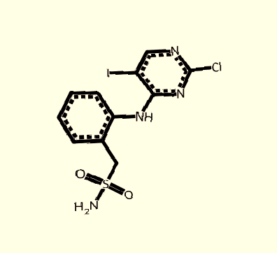 NS(=O)(=O)Cc1ccccc1Nc1nc(Cl)ncc1I